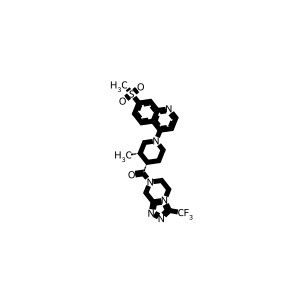 C[C@@H]1CN(c2ccnc3cc(S(C)(=O)=O)ccc23)CC[C@@H]1C(=O)N1CCn2c(nnc2C(F)(F)F)C1